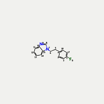 Fc1ccc(CCn2[c]nc3ccccc32)cc1